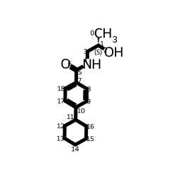 C[C@H](O)CNC(=O)c1ccc(C2CCCCC2)cc1